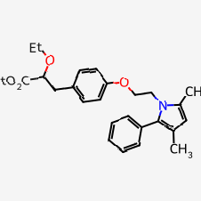 CCOC(=O)C(Cc1ccc(OCCn2c(C)cc(C)c2-c2ccccc2)cc1)OCC